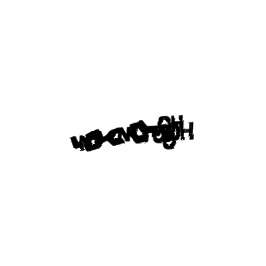 CC[n+]1ccc(-c2cc[n+](-c3ccc(COP(=O)(O)O)cc3)cc2)cc1